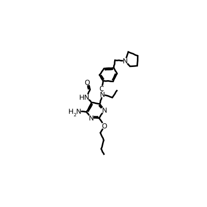 CCCCOc1nc(N)c(NC=O)c(N(CC)Cc2ccc(CN3CCCC3)cc2)n1